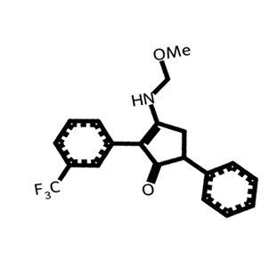 COCNC1=C(c2cccc(C(F)(F)F)c2)C(=O)C(c2ccccc2)C1